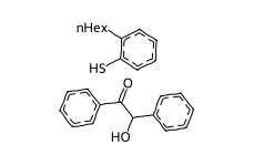 CCCCCCc1ccccc1S.O=C(c1ccccc1)C(O)c1ccccc1